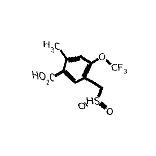 Cc1cc(OC(F)(F)F)c(C[SH](=O)=O)cc1C(=O)O